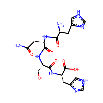 NC(=O)C[C@H](NC(=O)[C@@H](N)Cc1c[nH]cn1)C(=O)N[C@@H](CO)C(=O)N[C@@H](Cc1c[nH]cn1)C(=O)O